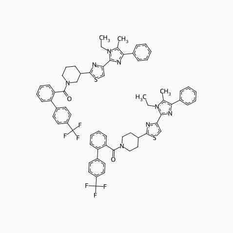 CCn1c(-c2csc(C3CCCN(C(=O)c4ccccc4-c4ccc(C(F)(F)F)cc4)C3)n2)nc(-c2ccccc2)c1C.CCn1c(-c2csc(C3CCN(C(=O)c4ccccc4-c4ccc(C(F)(F)F)cc4)CC3)n2)nc(-c2ccccc2)c1C